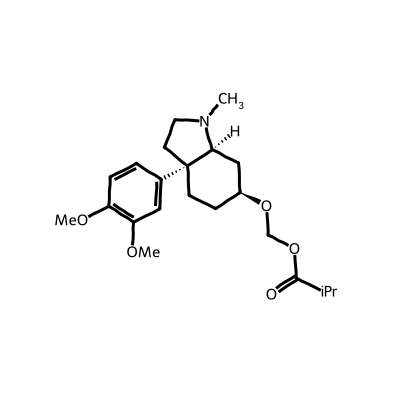 COc1ccc([C@@]23CC[C@H](OCOC(=O)C(C)C)C[C@@H]2N(C)CC3)cc1OC